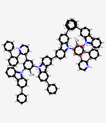 N#Cc1c(-n2c3ccccc3c3cc(-c4ccccc4)ccc32)cc(-c2cccnc2-c2ccccc2-c2ccccc2)cc1-n1c2ccc(-c3ccccc3)cc2c2cc(-c3ccc4c(c3)c3ccc(-c5ccccc5)cc3n4-c3cc(-c4cccnc4-c4ccccc4-c4ccccc4)cc(-n4c5ccccc5c5ccc(-c6ccccc6)cc54)c3C#N)ccc21